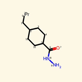 CC(C)CC1CCC(C(=O)NN)CC1